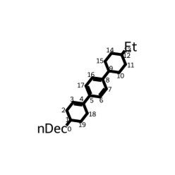 CCCCCCCCCCC1CC=C(c2ccc(C3CCC(CC)CC3)cc2)CC1